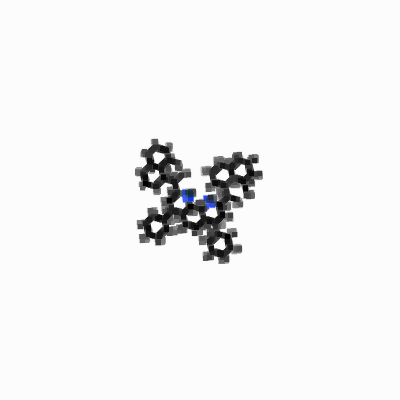 Cc1cccc2cccc(C(C)c3cc(-c4ccccc4)c4ccc5c(-c6ccccc6)cc(C(C)c6cccc7cccc(C)c67)nc5c4n3)c12